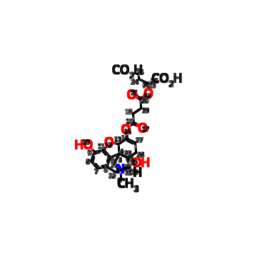 CN1CCC23c4c5ccc(O)c4OC2C(OC(=O)CCC(=O)O[C@H](CC(=O)O)C(=O)O)=CC[C@@]3(O)[C@H]1C5